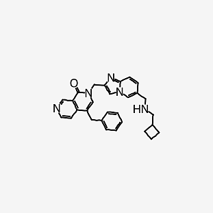 O=c1c2cnccc2c(Cc2ccccc2)cn1Cc1cn2cc(CNCC3CCC3)ccc2n1